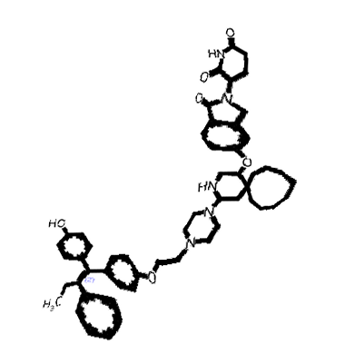 CC/C(=C(\c1ccc(O)cc1)c1ccc(OCCN2CCN(C3CC4(CCCCCCCC4)C(Oc4ccc5c(c4)CN(C4CCC(=O)NC4=O)C5=O)CN3)CC2)cc1)c1ccccc1